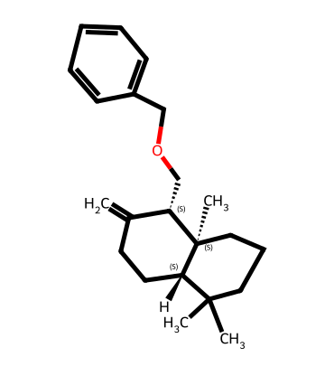 C=C1CC[C@H]2C(C)(C)CCC[C@]2(C)[C@H]1COCc1ccccc1